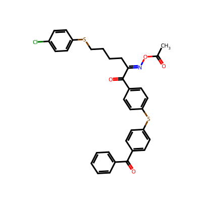 CC(=O)O/N=C(\CCCCSc1ccc(Cl)cc1)C(=O)c1ccc(Sc2ccc(C(=O)c3ccccc3)cc2)cc1